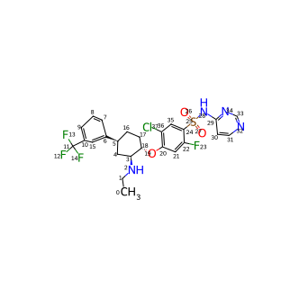 CCN[C@H]1C[C@@H](c2cccc(C(F)(F)F)c2)CC[C@@H]1Oc1cc(F)c(S(=O)(=O)Nc2ccncn2)cc1Cl